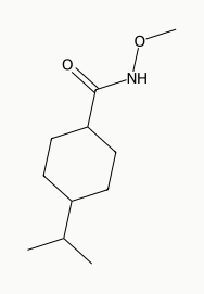 CONC(=O)C1CCC(C(C)C)CC1